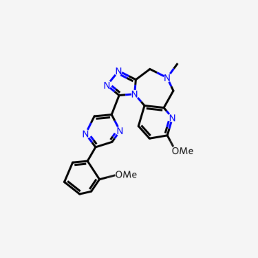 COc1ccc2c(n1)CN(C)Cc1nnc(-c3cnc(-c4ccccc4OC)cn3)n1-2